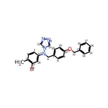 [CH2]c1ccc(N(Cc2ccc(OCc3ccccc3)cc2)n2cnnc2)cc1Br